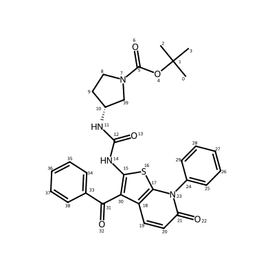 CC(C)(C)OC(=O)N1CC[C@@H](NC(=O)Nc2sc3c(ccc(=O)n3-c3ccccc3)c2C(=O)c2ccccc2)C1